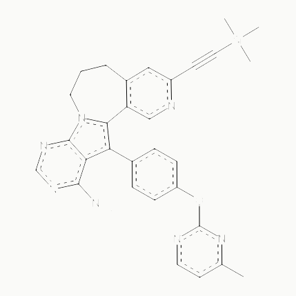 Cc1ccnc(Oc2ccc(-c3c4n(c5ncnc(N)c35)CCCc3cc(C#C[Si](C)(C)C)ncc3-4)cc2)n1